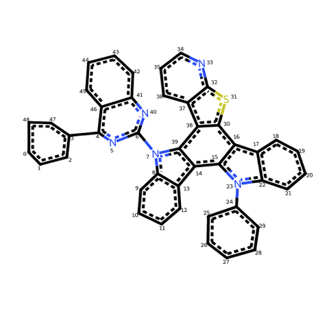 c1ccc(-c2nc(-n3c4ccccc4c4c5c(c6ccccc6n5-c5ccccc5)c5sc6ncccc6c5c43)nc3ccccc23)cc1